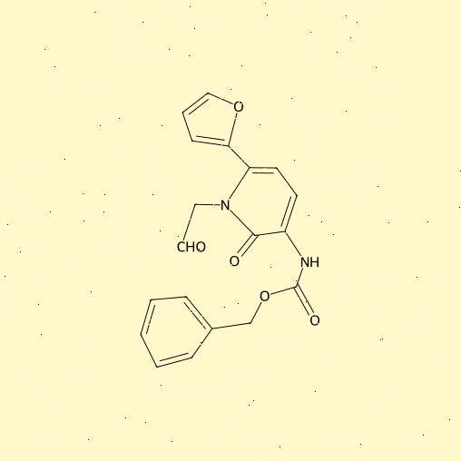 O=CCn1c(-c2ccco2)ccc(NC(=O)OCc2ccccc2)c1=O